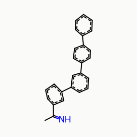 CC(=N)c1cccc(-c2cccc(-c3ccc(-c4ccccc4)cc3)c2)c1